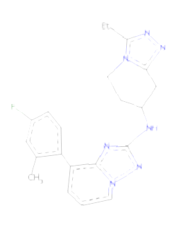 CCc1nnc2n1CCC(Nc1nc3c(-c4ccc(F)cc4C)cccn3n1)C2